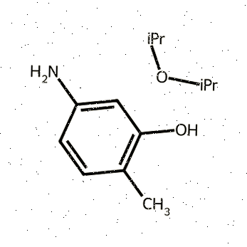 CC(C)OC(C)C.Cc1ccc(N)cc1O